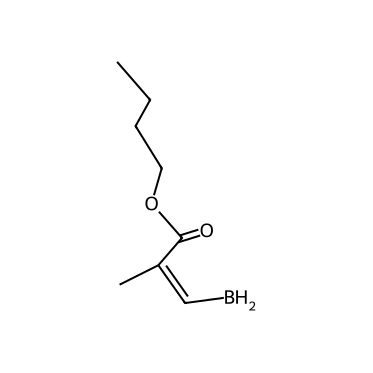 BC=C(C)C(=O)OCCCC